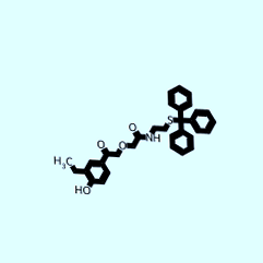 CCc1cc(C(=O)COCC(=O)NCCSC(c2ccccc2)(c2ccccc2)c2ccccc2)ccc1O